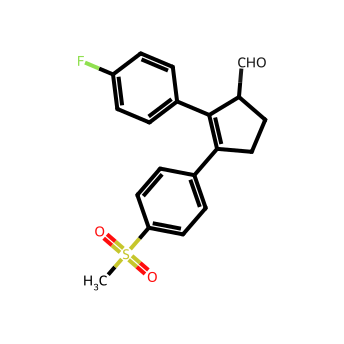 CS(=O)(=O)c1ccc(C2=C(c3ccc(F)cc3)C(C=O)CC2)cc1